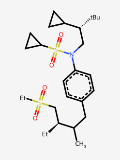 CC[C@@H](CS(=O)(=O)CC)C(C)Cc1ccc(N(C[C@H](C2CC2)C(C)(C)C)S(=O)(=O)C2CC2)cc1